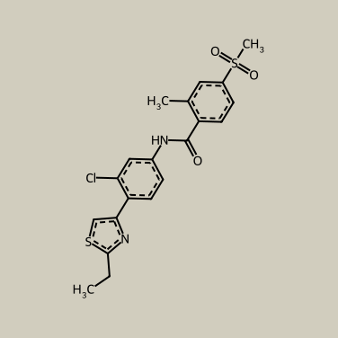 CCc1nc(-c2ccc(NC(=O)c3ccc(S(C)(=O)=O)cc3C)cc2Cl)cs1